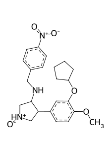 COc1ccc(C2C[NH+]([O-])CC2NCc2ccc([N+](=O)[O-])cc2)cc1OC1CCCC1